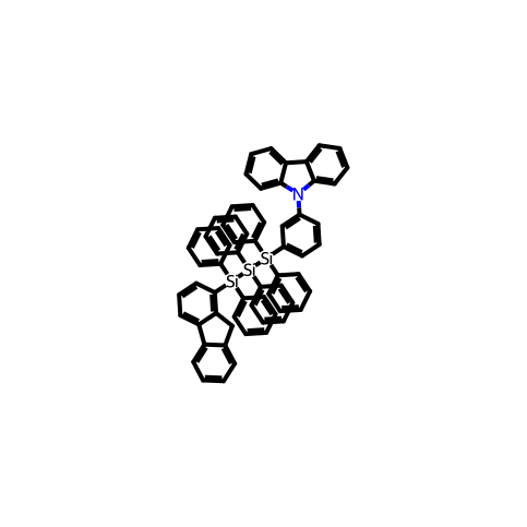 c1ccc([Si](c2ccccc2)(c2cccc(-n3c4ccccc4c4ccccc43)c2)[Si](c2ccccc2)(c2ccccc2)[Si](c2ccccc2)(c2ccccc2)c2cccc3c2Cc2ccccc2-3)cc1